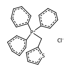 [Cl-].c1ccc([P+](Cc2cccs2)(c2ccccc2)c2ccccc2)cc1